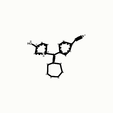 N#Cc1ccc(C(=C2CCCCCC2)c2ccc(O)cc2)cc1